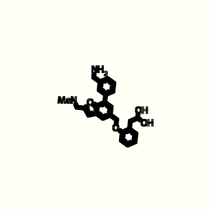 CNCc1cc2cc(COc3ccccc3CC(O)O)cc(-c3cccc(CN)c3)c2o1